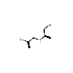 C=C(CC)CNC(=C)CC(C)(C)C